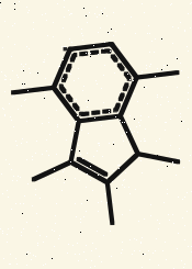 CC1=C(C)C(C)c2c(C)c[c]c(C)c21